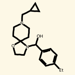 CCc1ccc(C(O)N2CCOC23CCN(CC2CC2)CC3)cc1